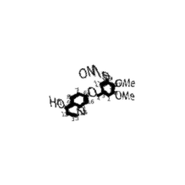 COc1cc(COc2ccc3c(O)ccnc3c2)cc(OC)c1OC